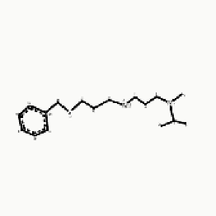 CC(C)N(C)CCCNCCCSCc1ccccc1